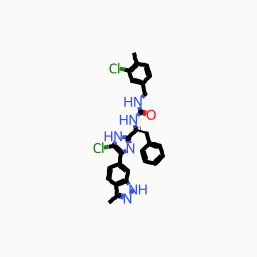 Cc1ccc(CNC(=O)N[C@@H](Cc2ccccc2)c2nc(-c3ccc4c(C)n[nH]c4c3)c(Cl)[nH]2)cc1Cl